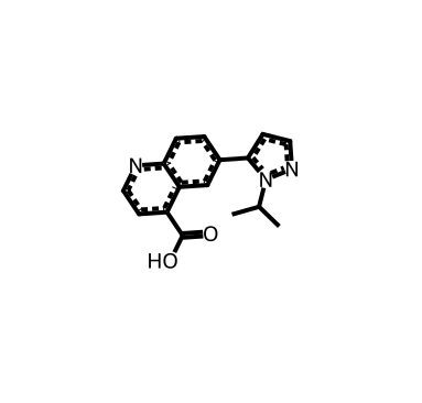 CC(C)n1nccc1-c1ccc2nccc(C(=O)O)c2c1